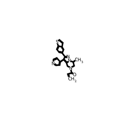 C=CC(=O)N1Cc2c(-c3ccncc3)c(-c3ccc4sccc4c3)nn2C(C)C1